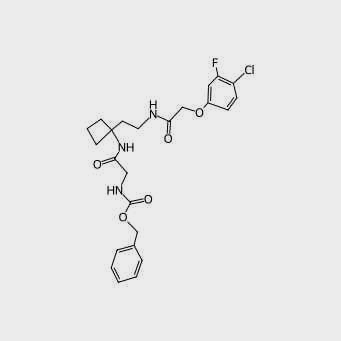 O=C(COc1ccc(Cl)c(F)c1)NCCC1(NC(=O)CNC(=O)OCc2ccccc2)CCC1